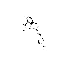 C=NC(C)c1nccc(C)c1N(C)C(=O)/N=C(\C)N1CCN(C(=O)OC(C)(C)C)C[C@@H]1C